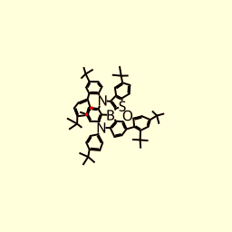 Cc1cc2c3c(c1)N(c1ccc(C(C)(C)C)cc1-c1ccc(C(C)(C)C)cc1)c1c(sc4ccc(C(C)(C)C)cc14)B3c1c(ccc3c1oc1cc(C(C)(C)C)cc(C(C)(C)C)c13)N2c1ccc(C(C)(C)C)cc1